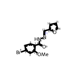 COc1cc(Br)ccc1C(=O)N/N=C/c1ccco1